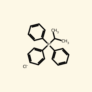 CC(C)[P+](c1ccccc1)(c1ccccc1)c1ccccc1.[Cl-]